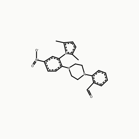 Cc1ccc(C)n1-c1cc([N+](=O)[O-])ccc1N1CCN(c2ccccc2C=O)CC1